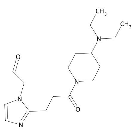 CCN(CC)C1CCN(C(=O)CCc2nccn2CC=O)CC1